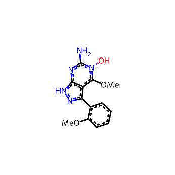 COc1ccccc1-c1n[nH]c2nc(N)[n+](O)c(OC)c12